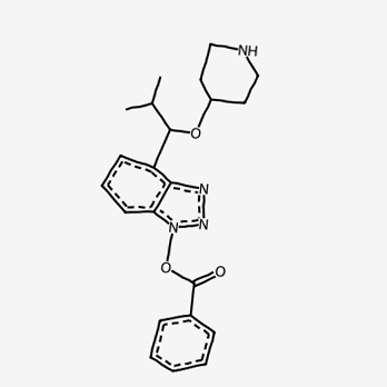 CC(C)C(OC1CCNCC1)c1cccc2c1nnn2OC(=O)c1ccccc1